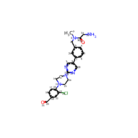 CN(Cc1cccc(-c2cnc(N3CCN(c4ccc(C=O)cc4Cl)CC3)nc2)c1)C(=O)CN